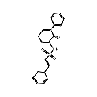 O=C1C(NS(=O)(=O)/C=C/c2ccccc2)CCCN1c1ccccc1